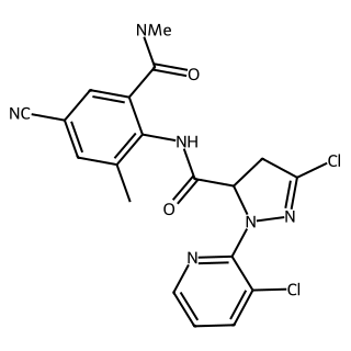 CNC(=O)c1cc(C#N)cc(C)c1NC(=O)C1CC(Cl)=NN1c1ncccc1Cl